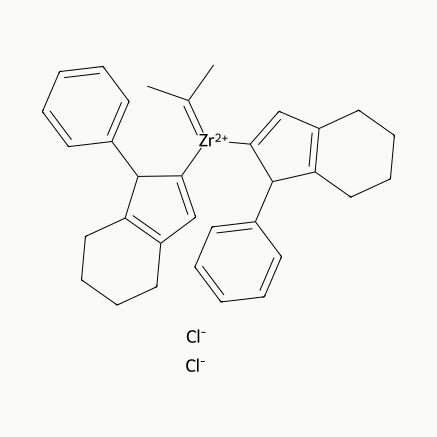 C[C](C)=[Zr+2]([C]1=CC2=C(CCCC2)C1c1ccccc1)[C]1=CC2=C(CCCC2)C1c1ccccc1.[Cl-].[Cl-]